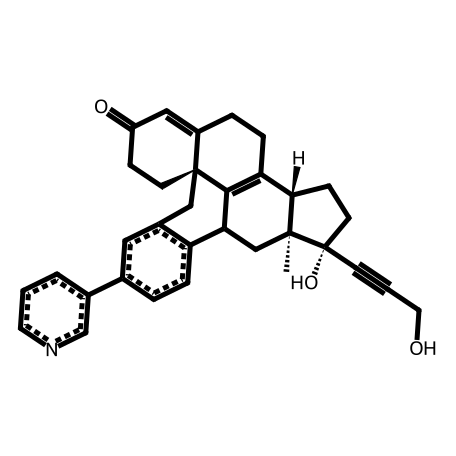 C[C@]12CC3C4=C(CCC5=CC(=O)CC[C@@]54Cc4cc(-c5cccnc5)ccc43)[C@@H]1CC[C@@]2(O)C#CCO